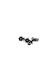 COC(=O)[C@@]1(Cc2ccc(OCc3ccccc3)cc2)C[C@@H]1C(=O)NO